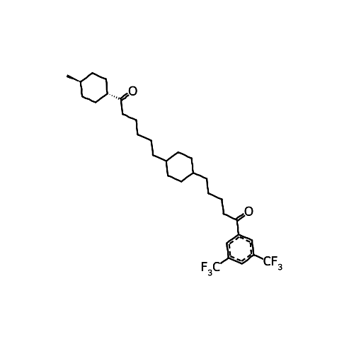 C[C@H]1CC[C@H](C(=O)CCCCCC2CCC(CCCCC(=O)c3cc(C(F)(F)F)cc(C(F)(F)F)c3)CC2)CC1